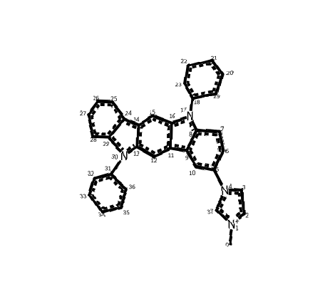 C[n+]1ccn(-c2ccc3c(c2)c2cc4c(cc2n3-c2ccccc2)c2ccccc2n4-c2ccccc2)c1